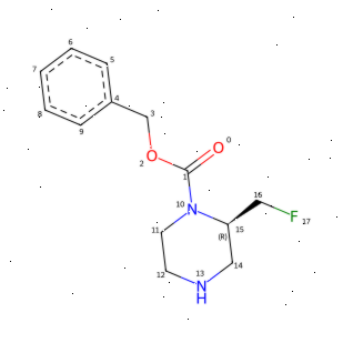 O=C(OCc1ccccc1)N1CCNC[C@@H]1CF